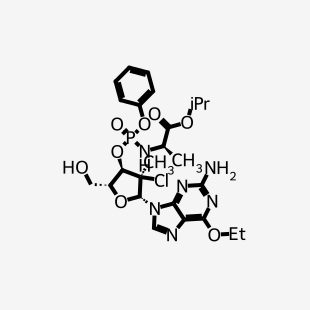 CCOc1nc(N)nc2c1ncn2[C@@H]1O[C@H](CO)[C@@H](OP(=O)(N[C@H](C)C(=O)OC(C)C)Oc2ccccc2)[C@@]1(C)Cl